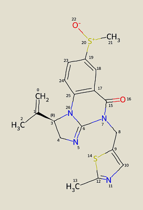 C=C(C)[C@@H]1CN=C2N(Cc3cnc(C)s3)C(=O)c3cc([S+](C)[O-])ccc3N21